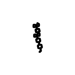 CCC1CCC(C2CCC(C(=O)Oc3ccc(C(=O)OC)cc3)CC2)CC1